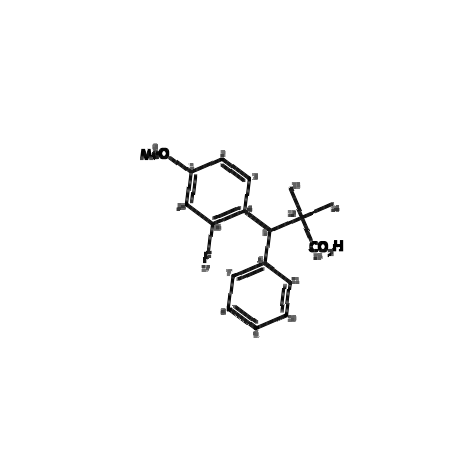 COc1ccc(C(c2ccccc2)C(C)(C)C(=O)O)c(F)c1